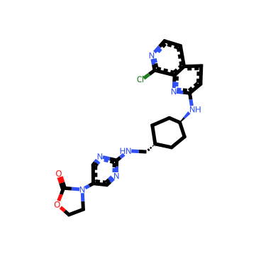 O=C1OCCN1c1cnc(NC[C@H]2CC[C@H](Nc3ccc4ccnc(Cl)c4n3)CC2)nc1